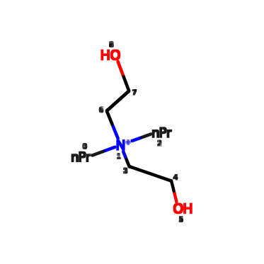 CCC[N+](CCC)(CCO)CCO